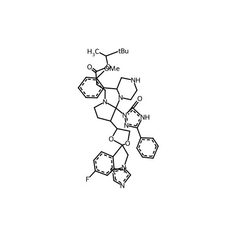 COc1ccccc1C1CNCCN1C1(n2nc(-c3ccccc3)[nH]c2=O)C(C2COC(Cn3cncn3)(c3ccc(F)cc3F)O2)CCN1CCC(=O)OC(C)C(C)(C)C